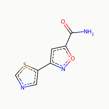 NC(=O)c1cc(-c2cncs2)no1